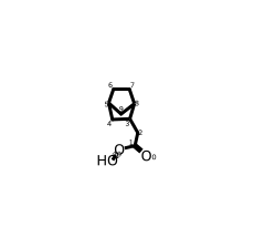 O=C(CC1CC2CCC1C2)OO